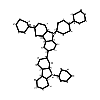 C1CCC(C2CCC(N3C4CCC(C5CCCCC5)CC4C4CC(C5CCC6C7CCCCC7N(C7CCCCC7)C6C5)CCC43)CC2)CC1